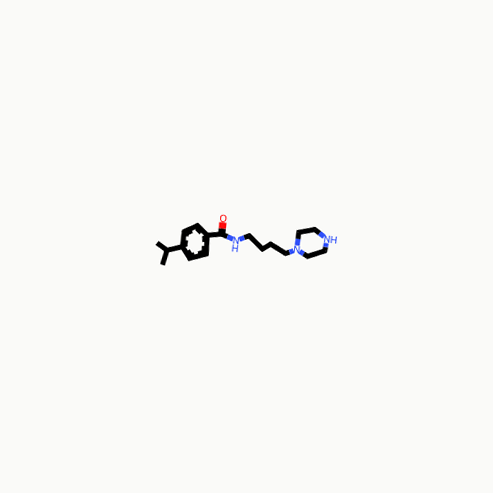 CC(C)c1ccc(C(=O)NCCCCN2CCNCC2)cc1